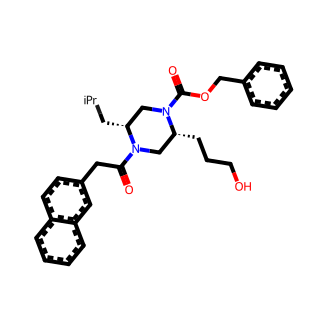 CC(C)C[C@@H]1CN(C(=O)OCc2ccccc2)[C@H](CCCO)CN1C(=O)Cc1ccc2ccccc2c1